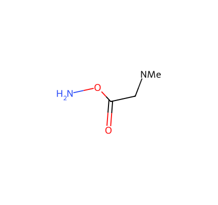 CNCC(=O)ON